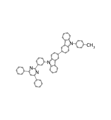 Cc1ccc(-n2c3ccccc3c3cc(-c4ccc5c(c4)c4ccccc4n5-c4cccc(-c5nc(-c6ccccc6)cc(-c6ccccc6)n5)c4)ccc32)cc1